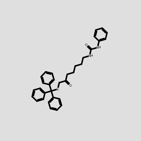 O=C(CCCCCNC(=O)Nc1ccccc1)CSC(c1ccccc1)(c1ccccc1)c1ccccc1